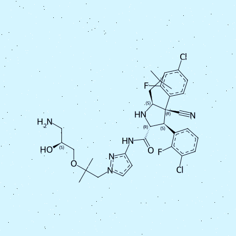 CC(C)(C)C[C@@H]1N[C@@H](C(=O)Nc2ccn(CC(C)(C)OC[C@@H](O)CN)n2)[C@H](c2cccc(Cl)c2F)[C@@]1(C#N)c1ccc(Cl)cc1F